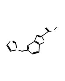 COC(=O)c1cc2cc(Cn3ccnc3)ccc2s1